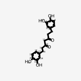 O=C(CCc1ccc(O)c(O)c1)CC(=O)CCc1ccc(O)c(O)c1